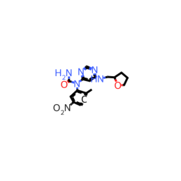 Cc1ccc([N+](=O)[O-])cc1N(C(N)=O)c1cc(NCC2CCCO2)ncn1